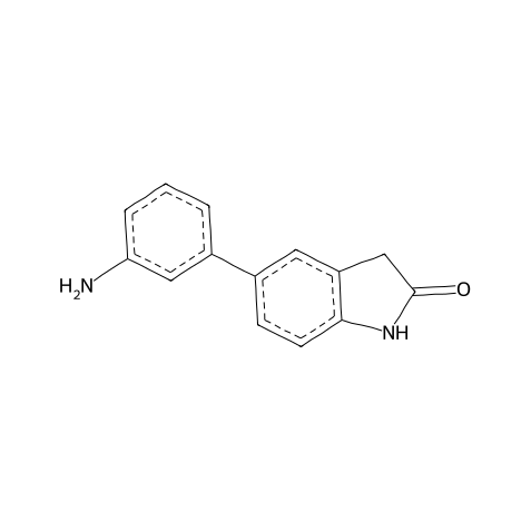 Nc1cccc(-c2ccc3c(c2)CC(=O)N3)c1